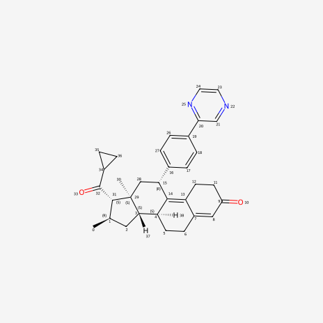 C[C@@H]1C[C@H]2[C@@H]3CCC4=CC(=O)CCC4=C3[C@@H](c3ccc(-c4cnccn4)cc3)C[C@]2(C)[C@H]1C(=O)C1CC1